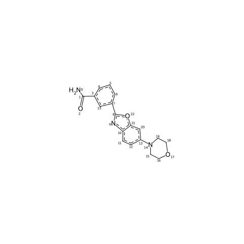 NC(=O)c1cccc(-c2nc3ccc(N4CCOCC4)cc3o2)c1